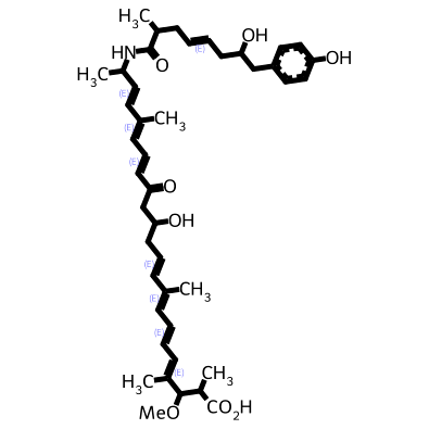 COC(/C(C)=C/C=C/C=C(C)/C=C/CC(O)CC(=O)/C=C/C=C(C)/C=C/C(C)NC(=O)C(C)C/C=C/CC(O)Cc1ccc(O)cc1)C(C)C(=O)O